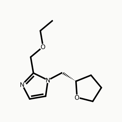 CCOCc1nccn1C[C@@H]1CCCO1